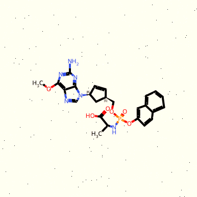 COc1nc(N)nc2c1ncn2[C@H]1C=C[C@@H](COP(=O)(NC(C)C(=O)O)Oc2ccc3ccccc3c2)C1